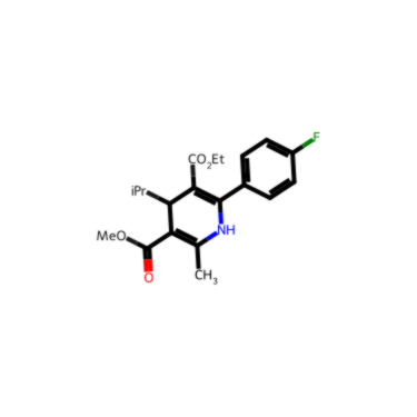 CCOC(=O)C1=C(c2ccc(F)cc2)NC(C)=C(C(=O)OC)C1C(C)C